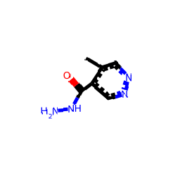 Cc1cnncc1C(=O)NN